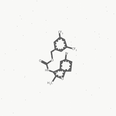 Cc1oc2ccc(Br)cc2c1NC(=O)OCc1cc(C(F)(F)F)cc(C(F)(F)F)c1